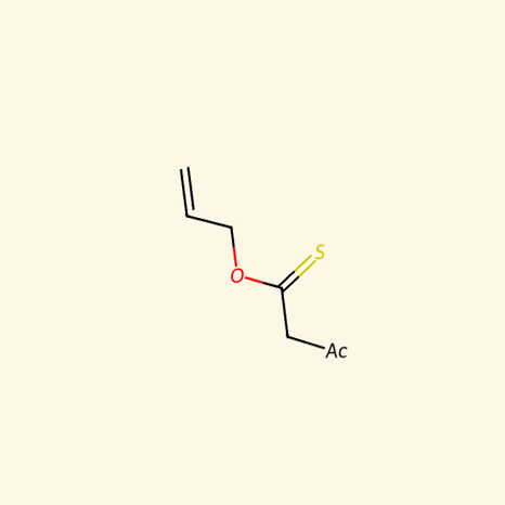 C=CCOC(=S)CC(C)=O